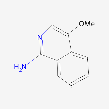 COc1cnc(N)c2c[c]ccc12